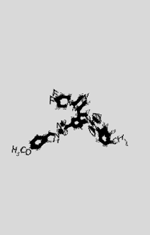 COc1ccc(CNc2nnc(-c3ccc4c(c3)c(-c3cncc(N5CCC(F)(F)CC5)n3)cn4S(=O)(=O)c3ccc(C)cc3)o2)cc1